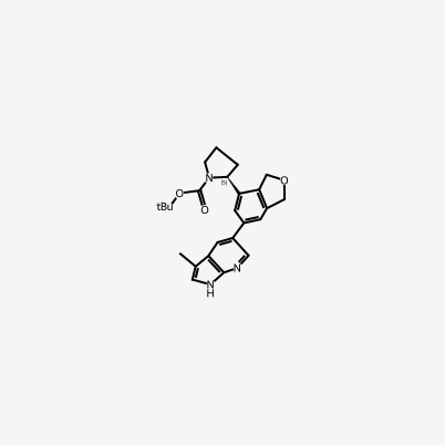 Cc1c[nH]c2ncc(-c3cc4c(c([C@@H]5CCCN5C(=O)OC(C)(C)C)c3)COC4)cc12